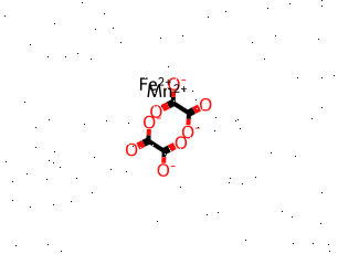 O=C([O-])C(=O)[O-].O=C([O-])C(=O)[O-].[Fe+2].[Mn+2]